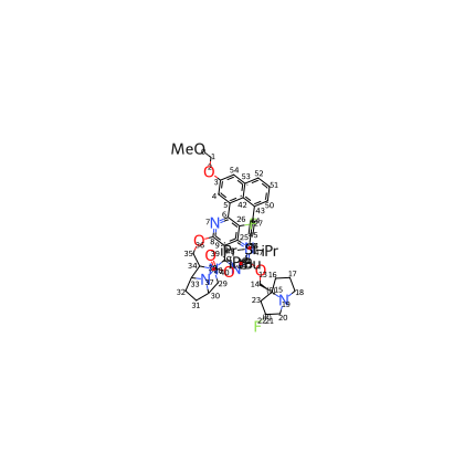 COCOc1cc(-c2nc3c4c(nc(OC[C@@]56CCCN5C[C@H](F)C6)nc4c2F)N2CC4CCC(C2CO3)N4C(=O)OC(C)(C)C)c2c(C#C[Si](C(C)C)(C(C)C)C(C)C)cccc2c1